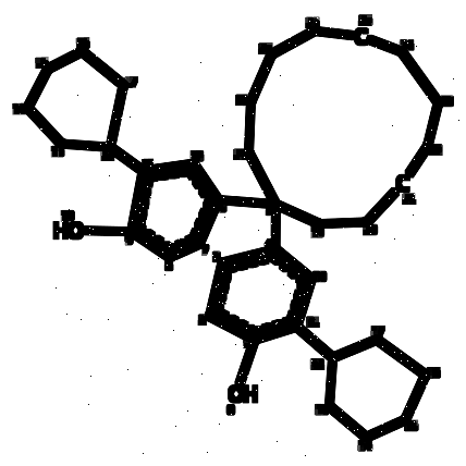 Oc1ccc(C2(c3ccc(O)c(C4CCCCC4)c3)CCCCCCCCCCC2)cc1C1CCCCC1